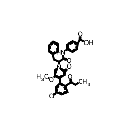 CCC(=O)c1ccc(Cl)cc1-c1cc(=O)n(C(Cc2ccccc2)C(=O)Nc2ccc(C(=O)O)cc2)cc1OC